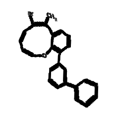 Cc1c(Br)ccccoc2c(-c3cccc(-c4ccccc4)c3)cccc12